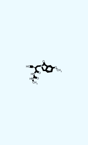 C#C[C@@H](CN1Cc2ccc(OC)cc2C1=O)C(=O)NC(=O)NC